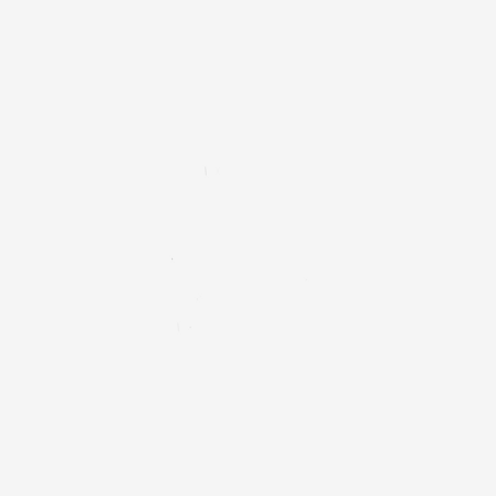 O=C(O)Cc1cc(O)cc2c1oc1ccccc12